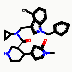 [C-]#[N+]c1cccc2c1c(CN(C(=O)[C@H]1CNCCC1c1ccn(C)c(=O)c1)C1CC1)cn2Cc1ccccc1